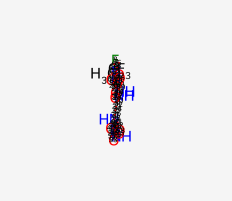 C[C@H](N(Cc1ccc(F)cc1)C(=O)CN1C(=O)O[C@@]2(CCc3cc(NC(=O)NC(=O)CCCCCCCCCNc4ccc5c(c4)C(=O)N(C4CCC(=O)NC4=O)C5=O)ccc32)C1=O)C(F)(F)F